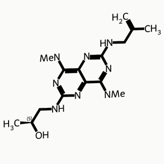 C=C(C)CNc1nc(NC)c2nc(NC[C@H](C)O)nc(NC)c2n1